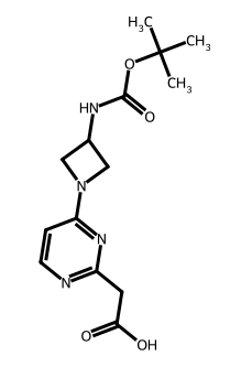 CC(C)(C)OC(=O)NC1CN(c2ccnc(CC(=O)O)n2)C1